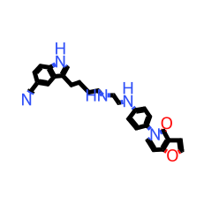 N#Cc1ccc2[nH]cc(CCCCNCCNc3ccc(-n4ccc5occc5c4=O)cc3)c2c1